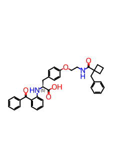 O=C(c1ccccc1)c1ccccc1N[C@@H](Cc1ccc(OCCNC(=O)C2(Cc3ccccc3)CCC2)cc1)C(=O)O